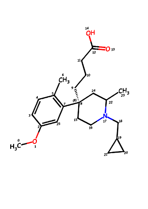 COc1ccc(C)c([C@]2(CCCC(=O)O)CCN(CC3CC3)C(C)C2)c1